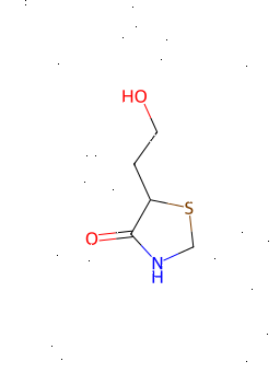 O=C1NCSC1CCO